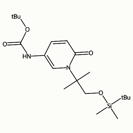 CC(C)(C)OC(=O)Nc1ccc(=O)n(C(C)(C)CO[Si](C)(C)C(C)(C)C)c1